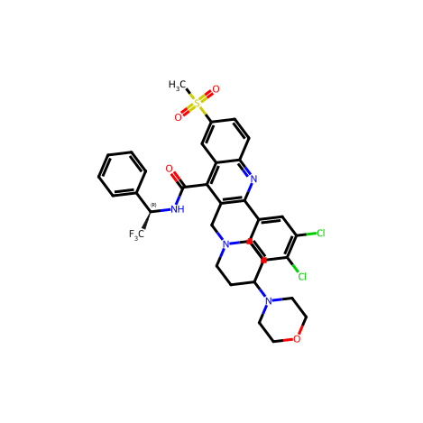 CS(=O)(=O)c1ccc2nc(-c3ccc(Cl)c(Cl)c3)c(CN3CCC(N4CCOCC4)CC3)c(C(=O)N[C@H](c3ccccc3)C(F)(F)F)c2c1